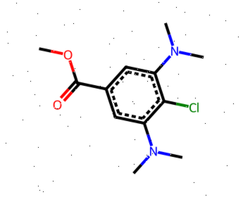 COC(=O)c1cc(N(C)C)c(Cl)c(N(C)C)c1